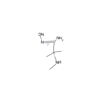 CNC(C)(C)/C(N)=N/O